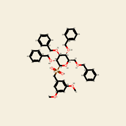 COc1cc(CS(=O)(=O)[C@@H]2O[C@H](COCc3ccccc3)[C@@H](OCc3ccccc3)[C@H](OCc3ccccc3)[C@H]2OCc2ccccc2)cc(OC)c1